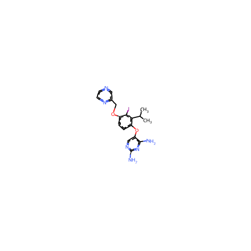 CC(C)c1c(Oc2cnc(N)nc2N)ccc(OCc2cnccn2)c1I